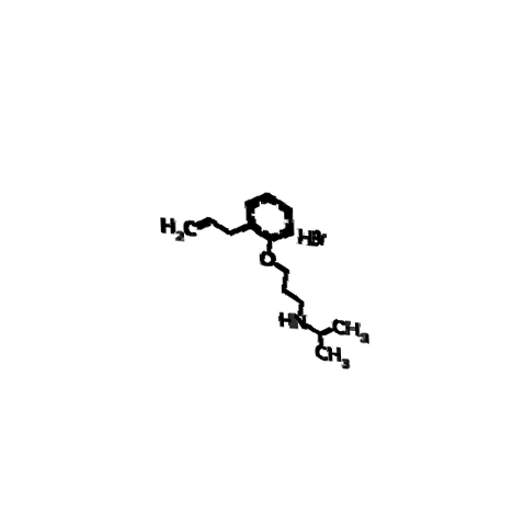 Br.C=CCc1ccccc1OCCCNC(C)C